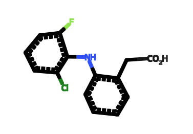 O=C(O)Cc1ccccc1Nc1c(F)cccc1Cl